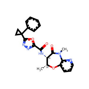 C[C@H]1Oc2cccnc2N(C)C(=O)[C@H]1NC(=O)c1nnc(C2(c3ccccc3)CC2)o1